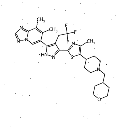 Cc1nc(-c2n[nH]c(-c3cn4ncnc4c(C)c3C)c2CC(F)(F)F)sc1C1CCN(CC2CCOCC2)CC1